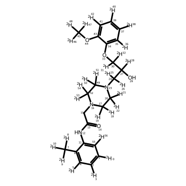 [2H]c1c([2H])c([2H])c(C([2H])([2H])[2H])c(NC(=O)CN2C([2H])([2H])C([2H])([2H])N(C([2H])([2H])C([2H])(O)C([2H])([2H])Oc3c([2H])c([2H])c([2H])c([2H])c3OC([2H])([2H])[2H])C([2H])([2H])C2([2H])[2H])c1[2H]